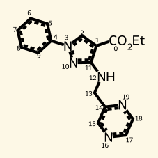 CCOC(=O)c1cn(-c2ccccc2)nc1NCc1cnccn1